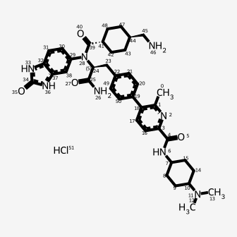 Cc1nc(C(=O)NC2CCC(N(C)C)CC2)ccc1-c1ccc(C[C@@H](C(N)=O)N(c2ccc3[nH]c(=O)[nH]c3c2)C(=O)[C@H]2CC[C@H](CN)CC2)cc1.Cl